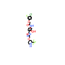 O=C(COc1ccc(Cl)c(F)c1)NC12CCC(c3nc(COC4CCNC(C(F)(F)F)C4)no3)(CC1)C(O)C2